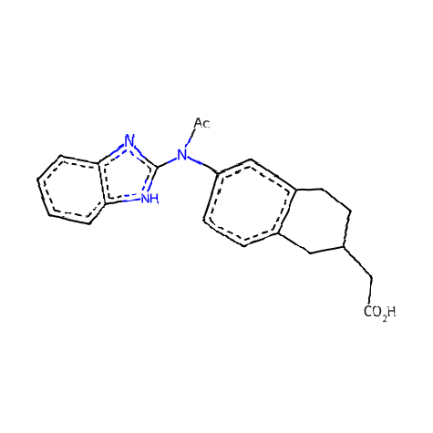 CC(=O)N(c1ccc2c(c1)CCC(CC(=O)O)C2)c1nc2ccccc2[nH]1